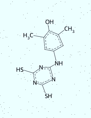 Cc1cc(Nc2nc(S)nc(S)n2)cc(C)c1O